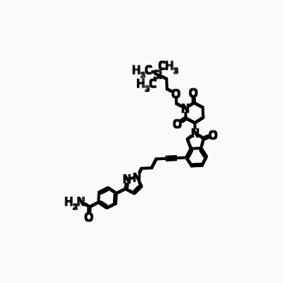 C[Si](C)(C)CCOCN1C(=O)CCC(N2Cc3c(C#CCCCn4ccc(-c5ccc(C(N)=O)cc5)n4)cccc3C2=O)C1=O